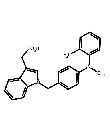 CN(c1ccc(Cn2cc(CC(=O)O)c3ccccc32)cc1)c1ccccc1C(F)(F)F